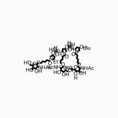 CC[C@@H]1CC(O[PH](C)(O)OC[C@@H]2CC(O[PH](C)(O)OC[C@@H]3C[C@@H](OC(C)(C)C)CN3C(=O)CCCCOC3OC(CO)C(O)C(O)C3NC(C)=O)CN2C(=O)CCCCOC2OC(CO)C(O)C(O)C2NC(C)=O)CN1C(=O)CCCCOC1OC(CO)C(O)C(O)C1NC(C)=O